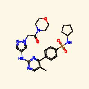 Cc1cnc(Nc2cnn(CC(=O)N3CCOCC3)c2)nc1-c1ccc(S(=O)(=O)NC2CCCC2)cc1